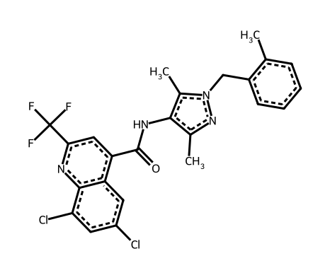 Cc1ccccc1Cn1nc(C)c(NC(=O)c2cc(C(F)(F)F)nc3c(Cl)cc(Cl)cc23)c1C